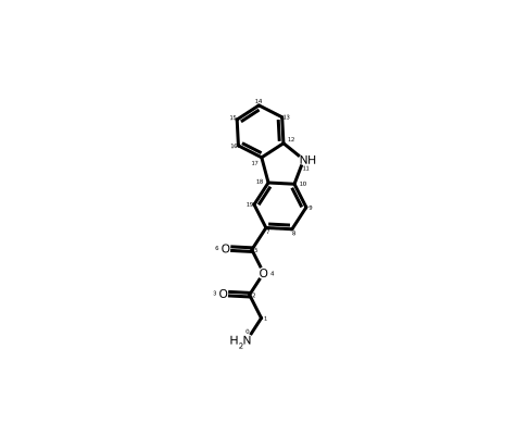 NCC(=O)OC(=O)c1ccc2[nH]c3ccccc3c2c1